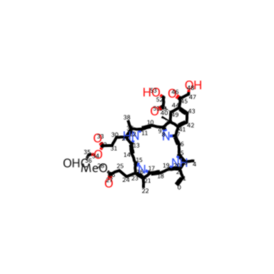 C=Cc1c(C)c2cc3nc(cc4[nH]c(cc5nc(cc1[nH]2)C(C)=C5CCC(=O)OC)c(CCC(=O)OCC=O)c4C)[C@@]1(C)C3=CC=C(C(=O)CO)[C@H]1C(=O)CO